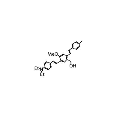 CCN(CC)c1ccc(C=Cc2cc(CO)c(C=Cc3ccc(C)cc3)cc2OC)cc1